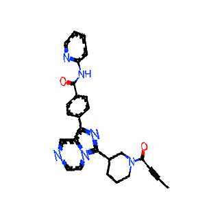 CC#CC(=O)N1CCCC(c2nc(-c3ccc(C(=O)Nc4ccccn4)cc3)c3cnccn23)C1